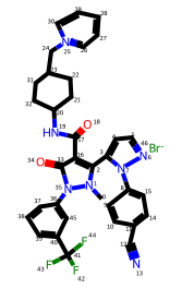 Cn1c(-c2ccnn2-c2ccc(C#N)cc2)c(C(=O)NC2CCC(C[n+]3ccccc3)CC2)c(=O)n1-c1cccc(C(F)(F)F)c1.[Br-]